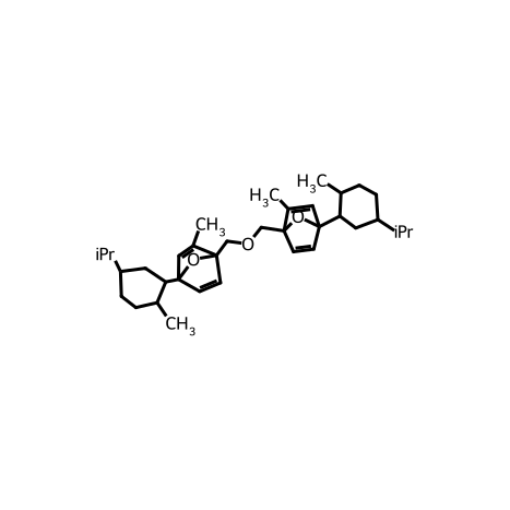 CC1=CC2(C3CC(C(C)C)CCC3C)C=CC1(COCC13C=CC(C4CC(C(C)C)CCC4C)(C=C1C)O3)O2